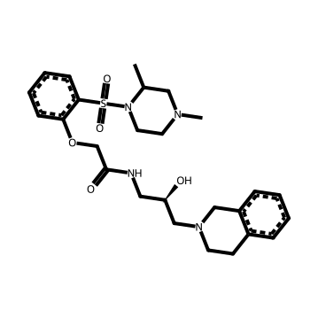 CC1CN(C)CCN1S(=O)(=O)c1ccccc1OCC(=O)NC[C@@H](O)CN1CCc2ccccc2C1